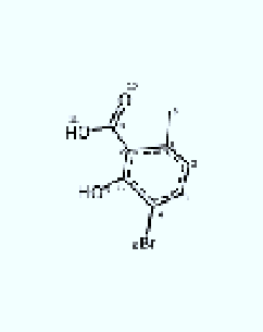 Cc1ccc(Br)c(O)c1C(=O)O